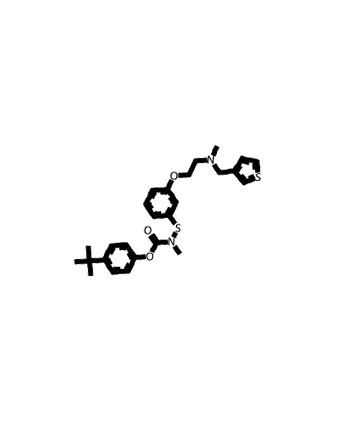 CN(CCOc1cccc(SN(C)C(=O)Oc2ccc(C(C)(C)C)cc2)c1)Cc1ccsc1